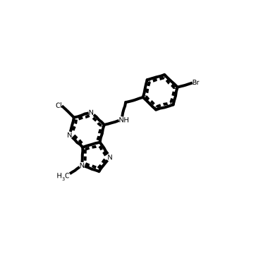 Cn1cnc2c(NCc3ccc(Br)cc3)nc(Cl)nc21